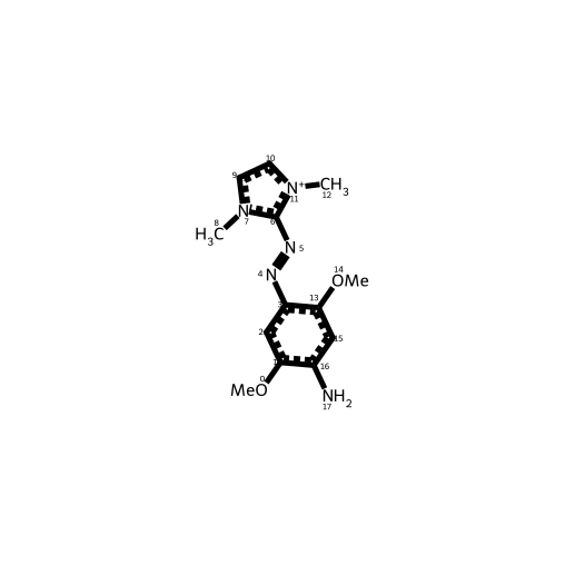 COc1cc(N=Nc2n(C)cc[n+]2C)c(OC)cc1N